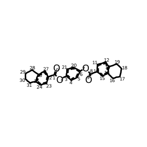 O=C(Oc1ccc(OC(=O)c2ccc3c(c2)CCCC3)cc1)c1ccc2c(c1)CCCC2